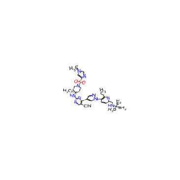 BC(B)(B)NCc1ccc(-n2cc(-c3nc(N[C@H]4CCN(S(=O)(=O)c5cn(C)cn5)C[C@H]4C)ncc3C#N)cn2)c(C)n1